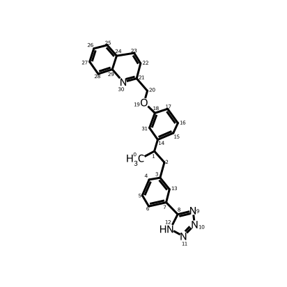 CC(Cc1cccc(-c2nnn[nH]2)c1)c1cccc(OCc2ccc3ccccc3n2)c1